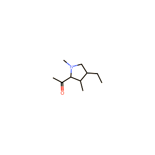 CCC1CN(C)C(C(C)=O)C1C